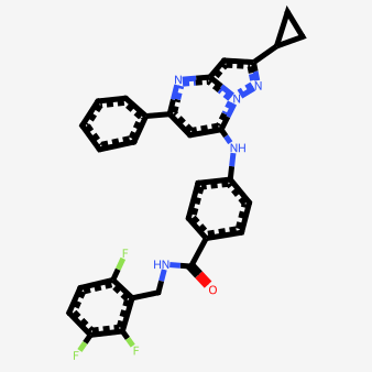 O=C(NCc1c(F)ccc(F)c1F)c1ccc(Nc2cc(-c3ccccc3)nc3cc(C4CC4)nn23)cc1